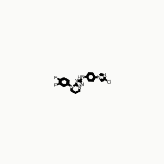 Fc1ccc(N2CCCn3nc(Nc4ccc(-n5cnc(Cl)c5)cc4)nc32)cc1F